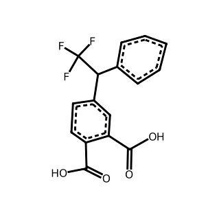 O=C(O)c1ccc(C(c2ccccc2)C(F)(F)F)cc1C(=O)O